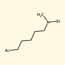 CCN(C)CCCCCC(C)=O